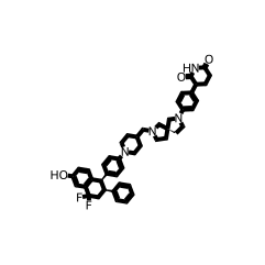 O=C1CCC(c2ccc(N3CC[C@@]4(CCN(CC5CCN(c6ccc([C@@H]7c8ccc(O)cc8C(F)(F)C[C@@H]7c7ccccc7)cc6)CC5)C4)C3)cc2)C(=O)N1